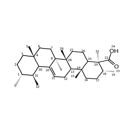 C[C@@H]1CC[C@]2(C)CC[C@]3(C)C(=CCC4[C@@]5(C)CC[C@@H](C)[C@](C)(C(=O)O)C5CC[C@]43C)C2[C@H]1C